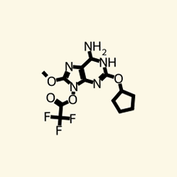 COc1nc2c(n1OC(=O)C(F)(F)F)N=C(OC1CCCC1)NC2N